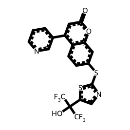 O=c1cc(-c2cccnc2)c2ccc(Sc3ncc(C(O)(C(F)(F)F)C(F)(F)F)s3)cc2o1